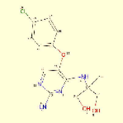 CC(CO)(CO)Nc1nc(N)ncc1Oc1ccc(Cl)cc1